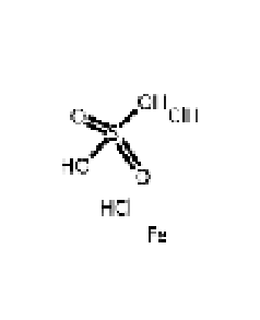 Cl.Cl.O=S(=O)(O)O.[Fe]